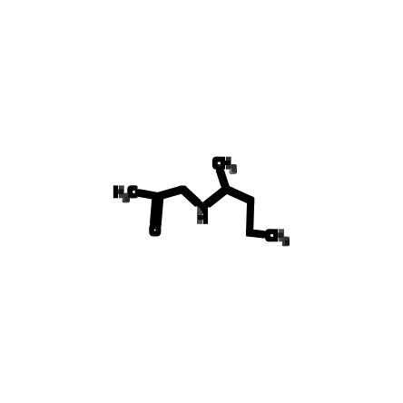 CCCC(C)NCC(C)=O